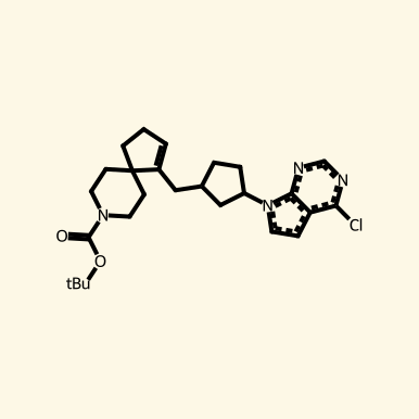 CC(C)(C)OC(=O)N1CCC2(CCC=C2CC2CCC(n3ccc4c(Cl)ncnc43)C2)CC1